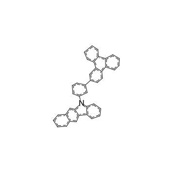 c1cc(-c2ccc3c4ccccc4c4ccccc4c3c2)cc(-n2c3ccccc3c3cc4ccccc4cc32)c1